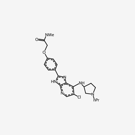 CCCN1CCC(Nc2c(Cl)cnc3[nH]c(-c4ccc(OCC(=O)NC)cc4)nc23)C1